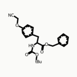 CC(C)(C)OC(=O)NC(Cc1ccc(OCC#N)cc1)C(=O)OCc1ccccc1